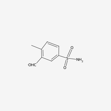 Cc1ccc(S(N)(=O)=O)cc1[C]=O